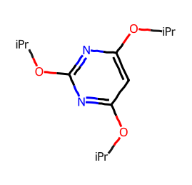 CC(C)Oc1cc(OC(C)C)nc(OC(C)C)n1